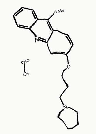 CNc1c2ccccc2nc2cc(OCCCN3CCCC3)ccc12.O=CO